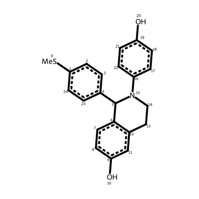 CSc1ccc(C2c3ccc(O)cc3CCN2c2ccc(O)cc2)cc1